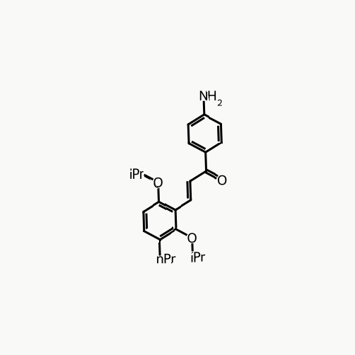 CCCc1ccc(OC(C)C)c(/C=C/C(=O)c2ccc(N)cc2)c1OC(C)C